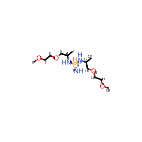 COCCOCC(C)N[PH](=N)NC(C)COCCOC